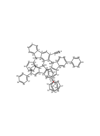 N#Cc1cc2c3ccccc3n(-c3ccccc3)c2c(-n2c3ccc(-c4ccccc4)cc3c3cc(-c4ccccc4)ccc32)c1-n1c2ccc(-c3ccccc3)cc2c2cc(-c3ccccc3)ccc21